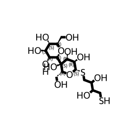 OC[C@H]1O[C@@H]([C@]2(O)[C@H](O)[C@@H](O)[C@H](SCC(O)C(O)CS)O[C@@H]2CO)[C@H](O)[C@@H](O)[C@@H]1O